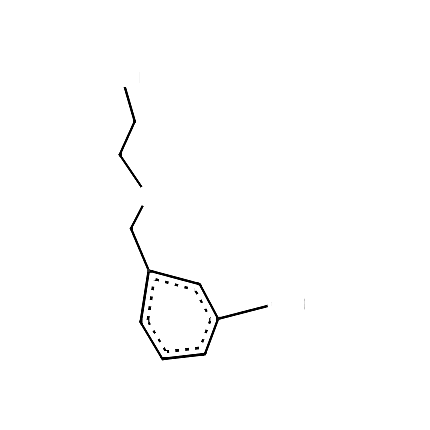 O=C(O)c1cccc(COCCO)c1